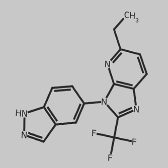 CCc1ccc2nc(C(F)(F)F)n(-c3ccc4[nH]ncc4c3)c2n1